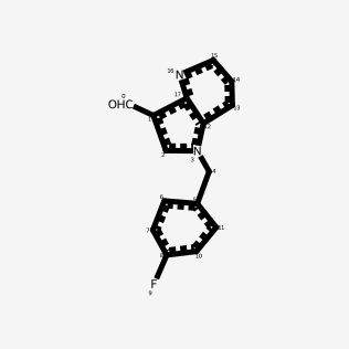 O=Cc1cn(Cc2ccc(F)cc2)c2cccnc12